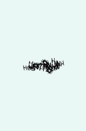 CC[C@H](Nc1ncnc2[nH]cnc12)c1nc2cccc(NCc3ccc(C(=O)NO)nc3)c2c(=O)n1-c1ccccc1